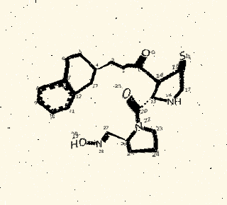 O=C(CC[C@@H]1CCc2ccccc2C1)C1C(=S)CN[C@@H]1C(=O)N1CCC[C@H]1C=NO